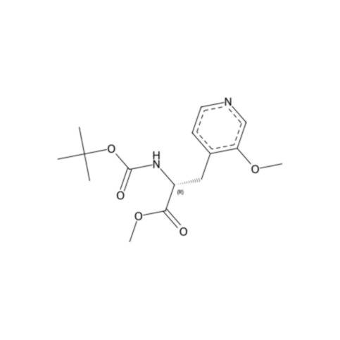 COC(=O)[C@@H](Cc1ccncc1OC)NC(=O)OC(C)(C)C